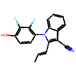 CC=Cc1c(C#N)c2ccccc2n1-c1ccc(O)c(F)c1F